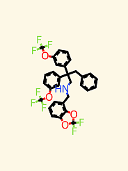 FC(F)(F)Oc1cccc(C(CNCc2cccc3c2OC(F)(F)O3)(Cc2ccccc2)c2cccc(OC(F)(F)F)c2)c1